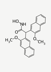 COc1cc2ccccc2cc1C(C(=O)NO)c1cc2ccccc2cc1OC